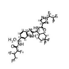 C[C@@H](NC(=O)C(F)C(F)CF)c1ccc2nc([C@@H](NC(=O)c3cnn(C(F)C(F)F)n3)C3CCC(F)(F)CC3)[nH]c2c1